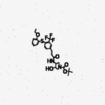 CCOc1ccccc1Sc1ccc(C=CC(=O)NC2CN(C(=O)OC(C)(C)C)CC2O)cc1C(F)(F)F